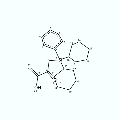 C=C(C[Si](c1ccccc1)(C1CCCCC1)C1CCCCC1)C(=O)O